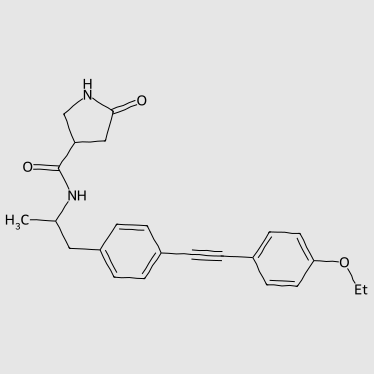 CCOc1ccc(C#Cc2ccc(CC(C)NC(=O)C3CNC(=O)C3)cc2)cc1